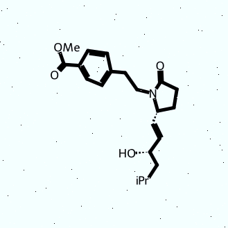 COC(=O)c1ccc(CCN2C(=O)CC[C@@H]2C=C[C@@H](O)CC(C)C)cc1